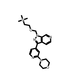 C[Si](C)(C)CCOCn1nc(-c2ccnc(N3CCOCC3)c2)c2ccncc21